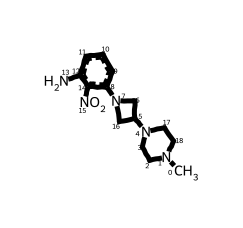 CN1CCN(C2CN(c3cccc(N)c3[N+](=O)[O-])C2)CC1